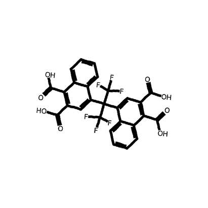 O=C(O)c1cc(C(c2cc(C(=O)O)c(C(=O)O)c3ccccc23)(C(F)(F)F)C(F)(F)F)c2ccccc2c1C(=O)O